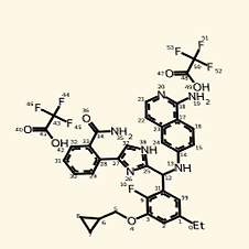 CCc1cc(OCC2CC2)c(F)c(C(Nc2ccc3c(N)nccc3c2)c2nc(-c3ccccc3C(N)=O)c[nH]2)c1.O=C(O)C(F)(F)F.O=C(O)C(F)(F)F